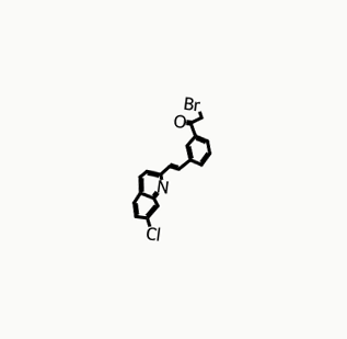 O=C(CBr)c1cccc(C=Cc2ccc3ccc(Cl)cc3n2)c1